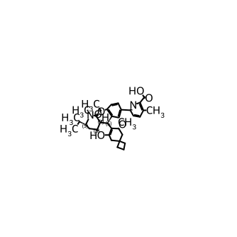 COc1ccc(-c2ccc(C)c(C(=O)O)n2)c(C)c1[C@H]1C2=C(CC3(CCC3)CC2=O)O[C@H]2C[C@@H](C(C)C)N(C)C(=O)[C@@H]21